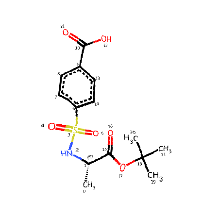 C[C@H](NS(=O)(=O)c1ccc(C(=O)O)cc1)C(=O)OC(C)(C)C